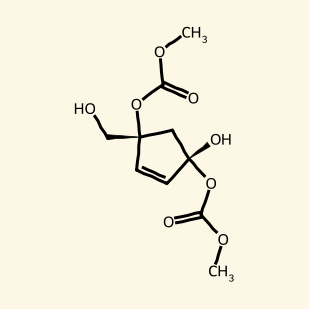 COC(=O)O[C@@]1(CO)C=C[C@@](O)(OC(=O)OC)C1